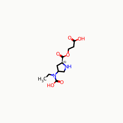 CCN(C(=O)O)C1CN[C@H](C(=O)OCCC(=O)O)C1